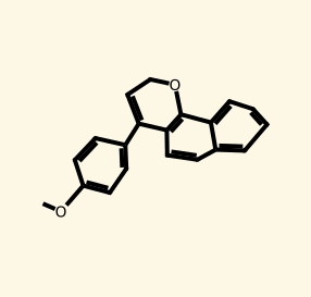 COc1ccc(C2=CCOc3c2ccc2ccccc32)cc1